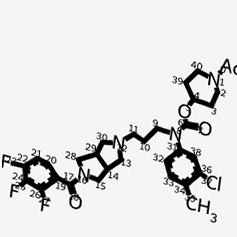 CC(=O)N1CCC(OC(=O)N(CCCN2CC3CN(C(=O)c4ccc(F)c(F)c4F)CC3C2)c2ccc(C)c(Cl)c2)CC1